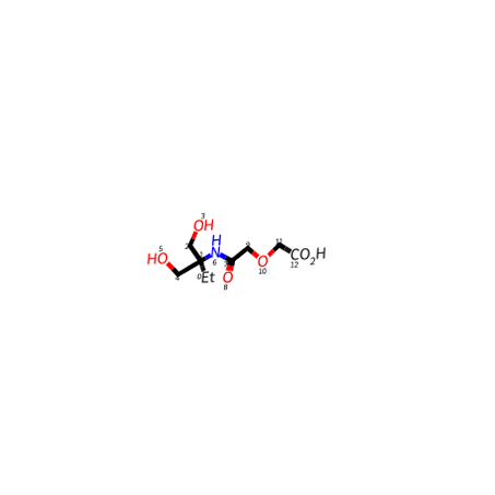 CCC(CO)(CO)NC(=O)COCC(=O)O